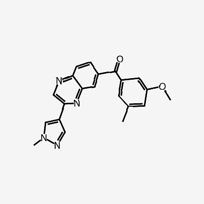 COc1cc(C)cc(C(=O)c2ccc3ncc(-c4cnn(C)c4)nc3c2)c1